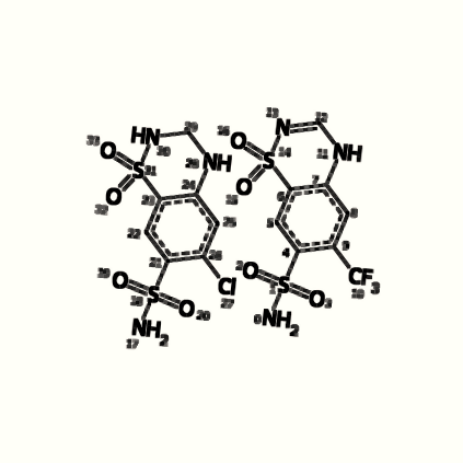 NS(=O)(=O)c1cc2c(cc1C(F)(F)F)NC=NS2(=O)=O.NS(=O)(=O)c1cc2c(cc1Cl)NCNS2(=O)=O